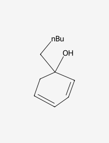 CCCCCC1(O)C=CC=CC1